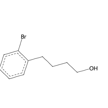 OCCCCc1ccccc1Br